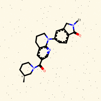 CCN1Cc2cc(N3CCCc4cc(C(=O)N5CCC[C@H](C)C5)cnc43)ccc2C1=O